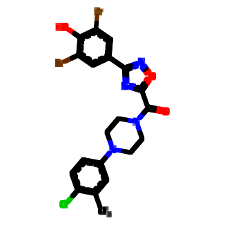 O=C(c1nc(-c2cc(Br)c(O)c(Br)c2)no1)N1CCN(c2ccc(Cl)c(C(F)(F)F)c2)CC1